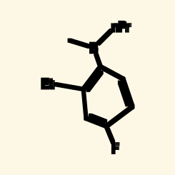 CCCB(C)c1ccc(F)cc1CC